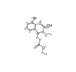 CCOC(=O)CCN(c1cccc(Br)c1)C(CC)C(=O)O